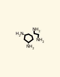 NCCN.N[C@@H]1CCC[C@H](N)C1